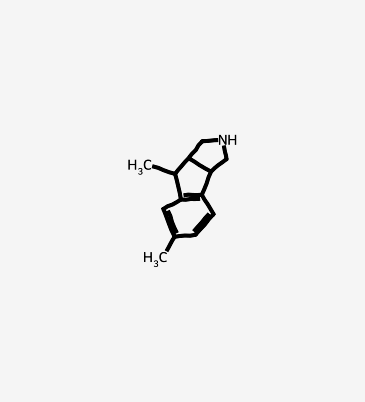 Cc1ccc2c(c1)C(C)C1CNCC21